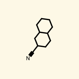 N#CC1CCC2CCCCC2C1